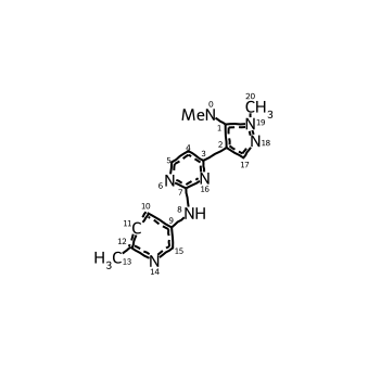 CNc1c(-c2ccnc(Nc3ccc(C)nc3)n2)cnn1C